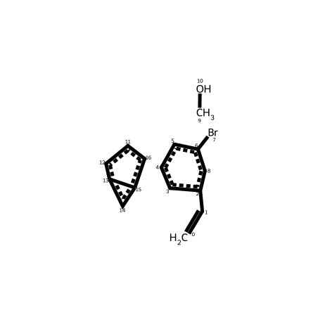 C=Cc1cccc(Br)c1.CO.c1cc2cc-2c1